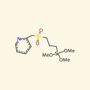 CO[Si](CCCS(=O)(=O)Cc1ccccn1)(OC)OC